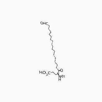 CCNN(CCC(=O)O)C(=O)CCCCCCCCCCCCCCCCC=O